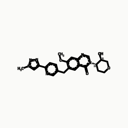 COc1cc2ncn([C@H]3CCOC[C@@H]3O)c(=O)c2cc1Cc1ccc(-c2cn(C)nn2)nc1